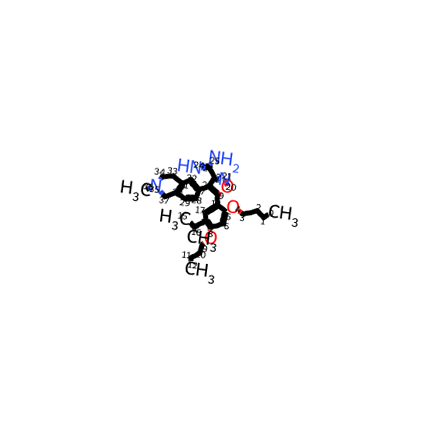 CCCCOc1cc(OCCCC)c(C(C)C)cc1-c1onc(C(=N)N)c1-c1ccc2c(c1)CCN(C)C2